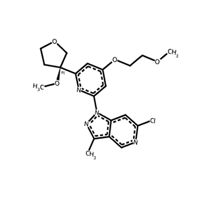 COCCOc1cc(-n2nc(C)c3cnc(Cl)cc32)nc([C@]2(OC)CCOC2)c1